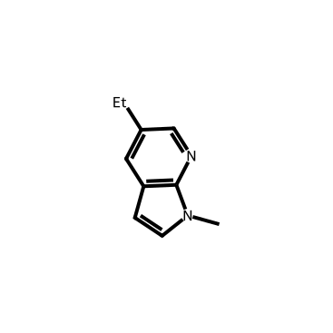 CCc1cnc2c(ccn2C)c1